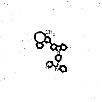 C=C1/C=C\C=C/Cc2ccccc2-c2cc(-c3ccc4c(c3)c3ccccc3n4-c3ccc(-n4c(-c5cccnc5)nc5ccccc54)cc3)ccc21